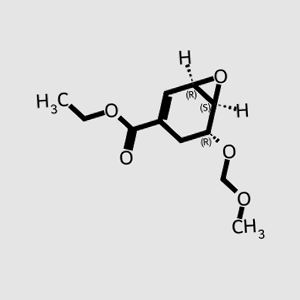 CCOC(=O)C1=C[C@H]2O[C@H]2[C@H](OCOC)C1